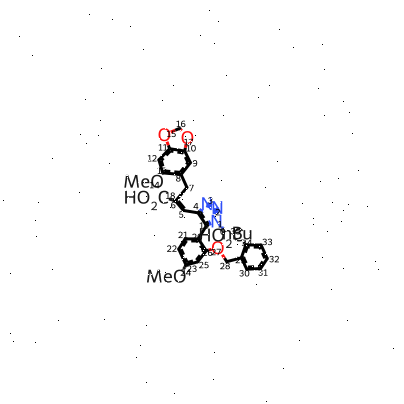 CCCCn1nnc(/C=C(\Cc2cc3c(cc2OC)OCO3)C(=O)O)c1-c1ccc(OC)cc1OCc1ccccc1C(=O)O